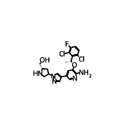 C[C@@H](Oc1cc(-c2cnn(C3CN[C@H](CO)C3)c2)cnc1N)c1c(Cl)ccc(F)c1Cl